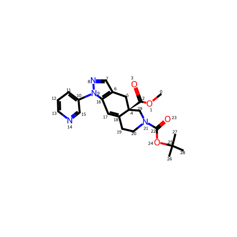 COC(=O)[C@]12Cc3cnn(-c4cccnc4)c3C=C1CCN(C(=O)OC(C)(C)C)C2